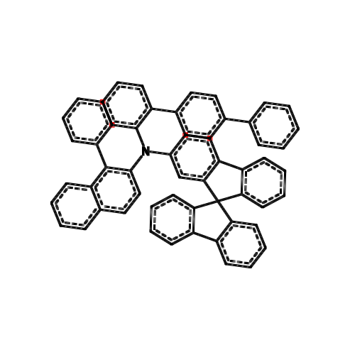 c1ccc(-c2ccc(-c3ccccc3N(c3ccc4c(c3)C3(c5ccccc5-c5ccccc53)c3ccccc3-4)c3ccc4ccccc4c3-c3ccccc3)cc2)cc1